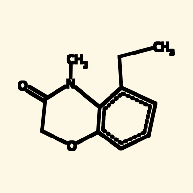 CCc1cccc2c1N(C)C(=O)CO2